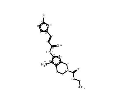 CCOC(=O)N1CCc2c(sc(NC(=O)/C=C/c3ccc(Cl)s3)c2N)C1